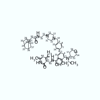 CCN(c1cc(-c2ccc(CN3CCN(CCNC(=O)CC4C5CC6CC(C5)CC4C6)CC3)cc2)cc(C(O)NCc2c(C)cc(C)[nH]c2=O)c1C)C1CCOCC1